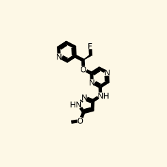 COc1cc(Nc2cncc(O[C@H](CF)c3cccnc3)n2)n[nH]1